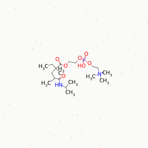 CCC(C)(CC(C)C(=O)NC(C)C)C(=O)OCCOP(=O)(O)OCC[N+](C)(C)C